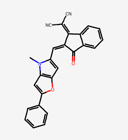 Cn1c(/C=C2\C(=O)c3ccccc3C2=C(C#N)C#N)cc2oc(-c3ccccc3)cc21